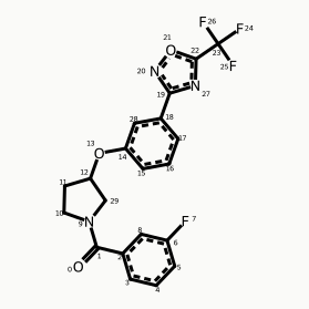 O=C(c1cccc(F)c1)N1CCC(Oc2cccc(-c3noc(C(F)(F)F)n3)c2)C1